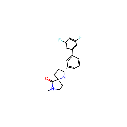 CN1CC[C@]2(CC[C@H](c3cccc(-c4cc(F)cc(F)c4)c3)N2)C1=O